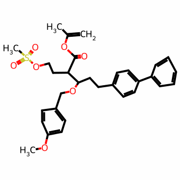 C=C(C)OC(=O)C(CCOS(C)(=O)=O)C(CCc1ccc(-c2ccccc2)cc1)OCc1ccc(OC)cc1